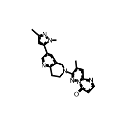 Cc1cc(-c2cnc3c(c2)CN(c2nn4c(=O)ccnc4cc2C)CC3)n(C)n1